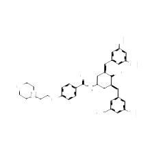 O=C1C(=Cc2cc(Cl)cc(Cl)c2)CC(NC(=O)c2ccc(OCCN3CCOCC3)cc2)CC1=Cc1cc(Cl)cc(Cl)c1